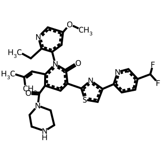 CCc1ncc(OC)cc1-n1c(C=C(C)C)c(C(=O)N2CCNCC2)cc(-c2nc(-c3ccc(C(F)F)cn3)cs2)c1=O